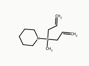 C=CC[Si](C)(CC=C)N1CCCCC1